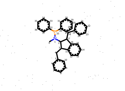 CN(C1C(Cc2ccccc2)c2ccccc2C1Cc1ccccc1)P(c1ccccc1)c1ccccc1